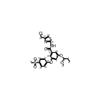 CCC(OC)Oc1cc(Oc2ccc(S(C)(=O)=O)cc2)cc(C(=O)Nc2nc(CCl)cs2)c1